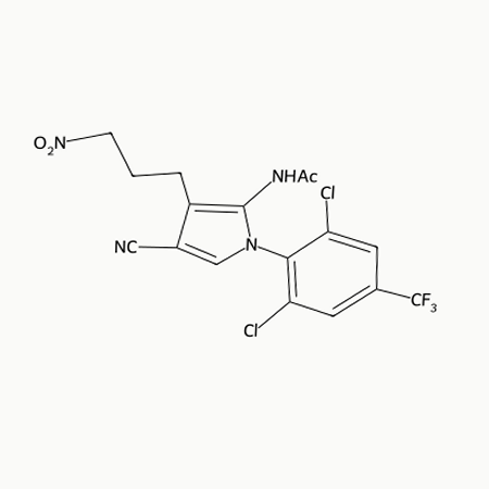 CC(=O)Nc1c(CCC[N+](=O)[O-])c(C#N)cn1-c1c(Cl)cc(C(F)(F)F)cc1Cl